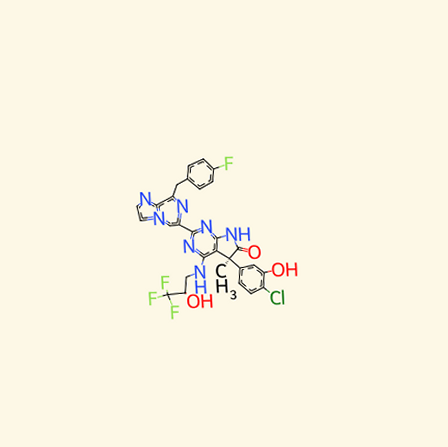 C[C@@]1(c2ccc(Cl)c(O)c2)C(=O)Nc2nc(-c3cn4ccnc4c(Cc4ccc(F)cc4)n3)nc(NC[C@H](O)C(F)(F)F)c21